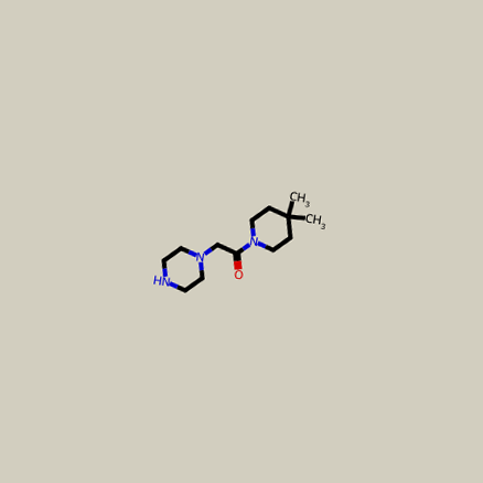 CC1(C)CCN(C(=O)CN2CCNCC2)CC1